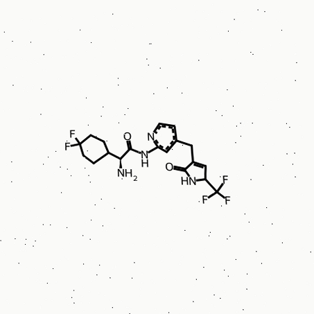 N[C@H](C(=O)Nc1cc(CC2=CC(C(F)(F)F)NC2=O)ccn1)C1CCC(F)(F)CC1